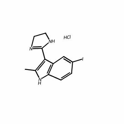 Cc1[nH]c2ccc(I)cc2c1C1=NCCN1.Cl